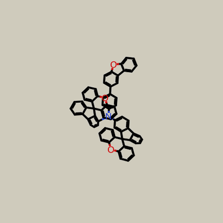 c1ccc2c(c1)Oc1ccccc1C21c2ccccc2-c2ccc(N(c3ccc(-c4ccc5oc6ccccc6c5c4)cc3)c3cccc4c3C3(c5ccccc5Oc5ccccc53)c3ccccc3-4)cc21